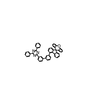 c1ccc(-c2nc(-c3ccccc3)nc(-c3cccc(-c4cccc(-c5cccc6c5-c5ccccc5C65c6ccccc6Oc6ccccc65)c4)c3)n2)cc1